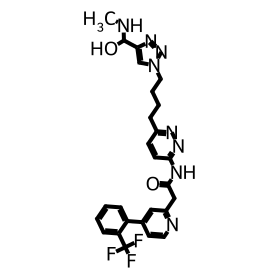 CNC(O)c1cn(CCCCc2ccc(NC(=O)Cc3cc(-c4ccccc4C(F)(F)F)ccn3)nn2)nn1